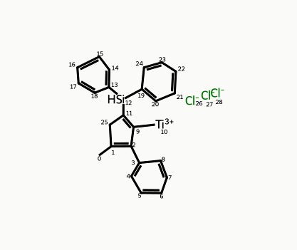 CC1=C(c2ccccc2)[C]([Ti+3])=C([SiH](c2ccccc2)c2ccccc2)C1.[Cl-].[Cl-].[Cl-]